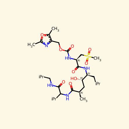 Cc1nc(COC(=O)N[C@@H](CS(C)(=O)=O)C(=O)N[C@@H](CC(C)C)[C@@H](O)C[C@@H](C)C(=O)NC(C(=O)NCC(C)C)C(C)C)c(C)o1